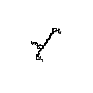 CCCCCCCC[C@H](CCCCCCC)CC(=O)O